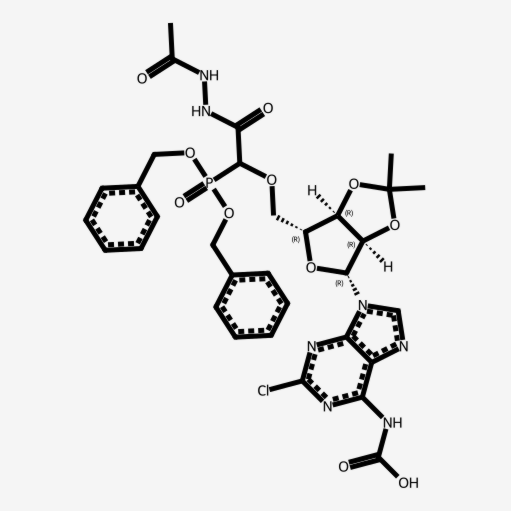 CC(=O)NNC(=O)C(OC[C@H]1O[C@@H](n2cnc3c(NC(=O)O)nc(Cl)nc32)[C@@H]2OC(C)(C)O[C@@H]21)P(=O)(OCc1ccccc1)OCc1ccccc1